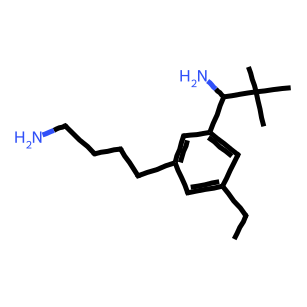 CCc1cc(CCCCN)cc(C(N)C(C)(C)C)c1